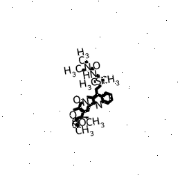 CCN(CC)C(=O)NC[Si](C)(C)CCc1c2c(nc3ccccc13)-c1cc3c(c(=O)n1C2)COC(=O)[C@@]3(CC)OC(C)=O